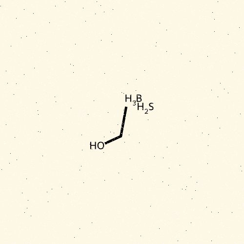 B.CCO.S